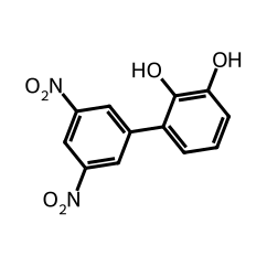 O=[N+]([O-])c1cc(-c2cccc(O)c2O)cc([N+](=O)[O-])c1